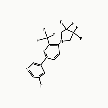 Fc1cncc(-c2ccc(N3CC(F)(F)C(F)(F)C3)c(C(F)(F)F)n2)c1